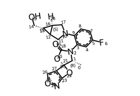 C[C@H]1N(c2cc(F)ccc2N2CC3[C@H](CO)[C@H]3C2)C(=O)O[C@@]12Oc1nocc12